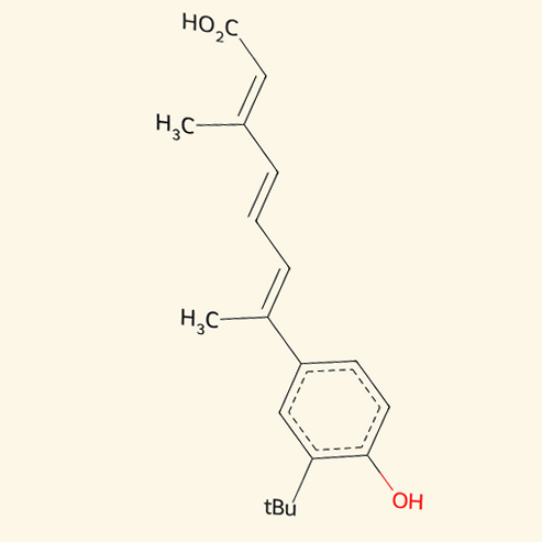 CC(/C=C/C=C(\C)c1ccc(O)c(C(C)(C)C)c1)=C\C(=O)O